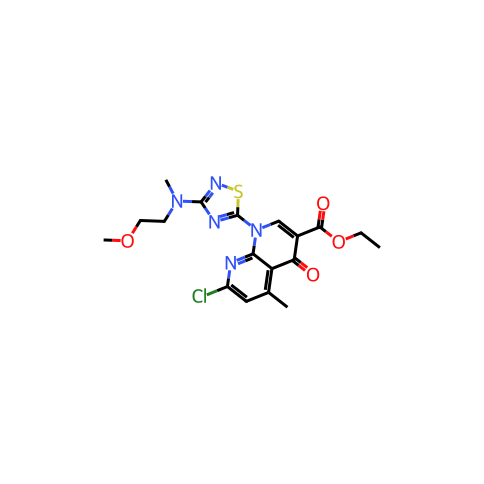 CCOC(=O)c1cn(-c2nc(N(C)CCOC)ns2)c2nc(Cl)cc(C)c2c1=O